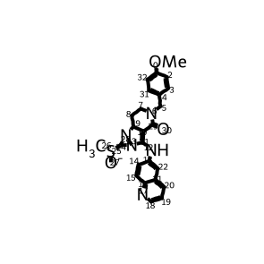 COc1ccc(CN2CCC3C(=C(Nc4ccc5ncccc5c4)N4C([S+](C)[O-])N34)C2=O)cc1